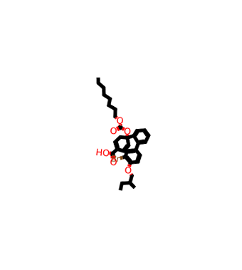 CCCCCCCCOC(=O)OC1(c2ccccc2-c2ccc(OCC(C)CC)c(Br)c2)C=CC(C(=O)O)=CC1